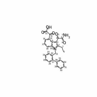 CCc1c(C(=O)C(N)=O)c2c(C(=O)C(=O)O)cccc2n1Cc1ccccc1-c1ccccc1